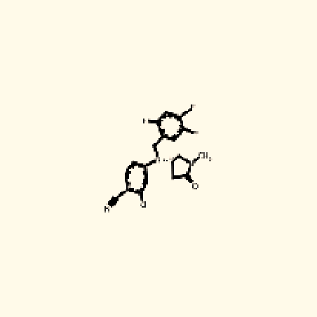 CN1C[C@@H](N(Cc2cc(F)c(F)cc2F)c2ccc(C#N)c(Cl)c2)CC1=O